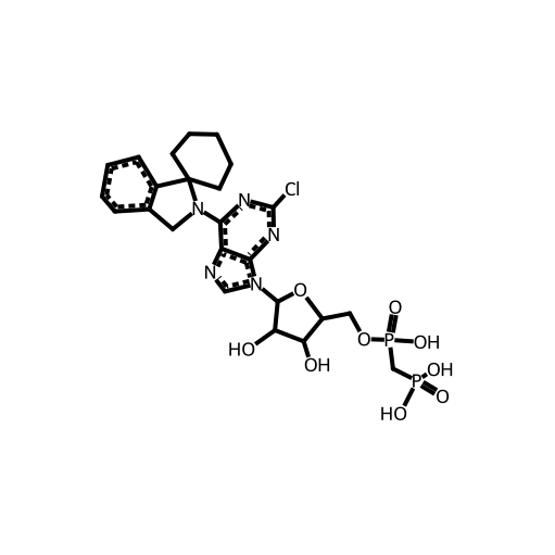 O=P(O)(O)CP(=O)(O)OCC1OC(n2cnc3c(N4Cc5ccccc5C45CCCCC5)nc(Cl)nc32)C(O)C1O